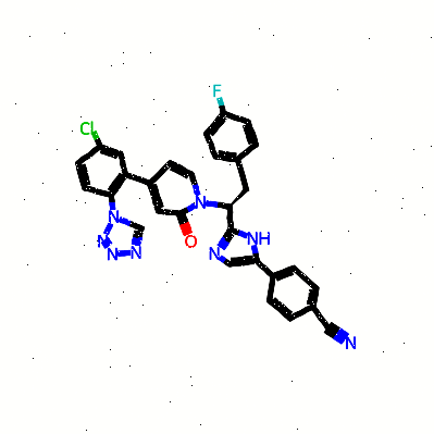 N#Cc1ccc(-c2cnc([C@H](Cc3ccc(F)cc3)n3ccc(-c4cc(Cl)ccc4-n4cnnn4)cc3=O)[nH]2)cc1